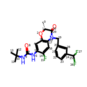 C[C@H]1Oc2cc(NC(=O)NC(C)(C)C)c(F)cc2N(Cc2cccc(C(F)F)c2)C1=O